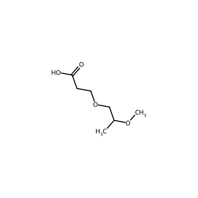 COC(C)COCCC(=O)O